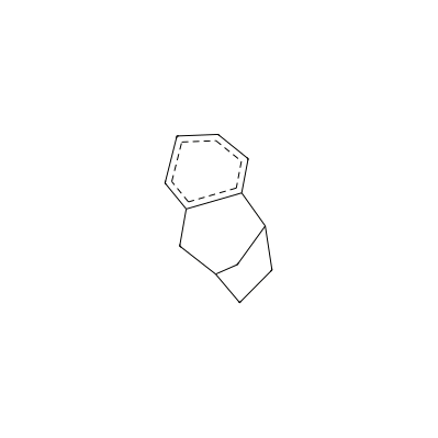 c1ccc2c(c1)CC1CCC2C1